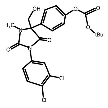 CN1C(=O)N(c2ccc(Cl)c(Cl)c2)C(=O)C1(CO)c1ccc(OC(=O)OC(C)(C)C)cc1